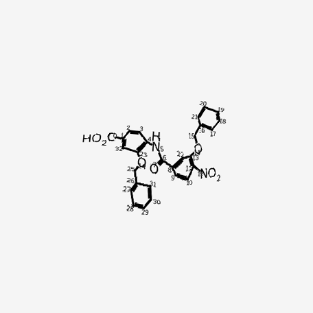 O=C(O)c1ccc(NC(=O)c2ccc([N+](=O)[O-])c(OCc3ccccc3)c2)c(OCc2ccccc2)c1